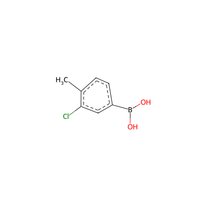 Cc1ccc(B(O)O)cc1Cl